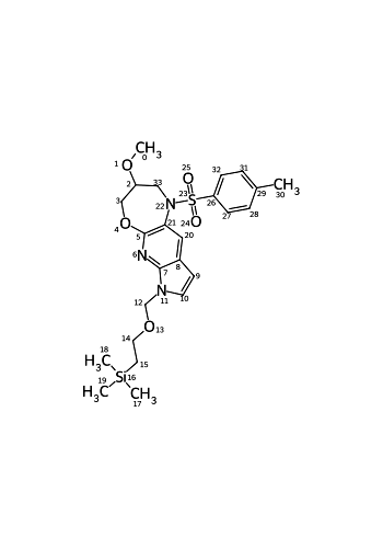 COC1COc2nc3c(ccn3COCC[Si](C)(C)C)cc2N(S(=O)(=O)c2ccc(C)cc2)C1